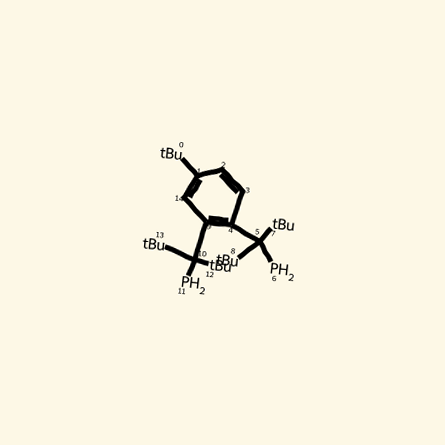 CC(C)(C)c1ccc(C(P)(C(C)(C)C)C(C)(C)C)c(C(P)(C(C)(C)C)C(C)(C)C)c1